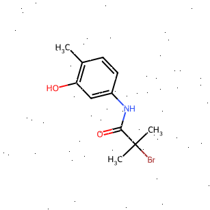 Cc1ccc(NC(=O)C(C)(C)Br)cc1O